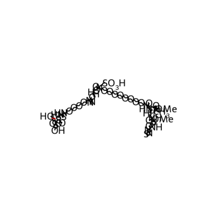 COc1ccc(NC(=O)c2cn3ccsc3n2)cc1C(=O)NCCCC(=O)N[C@@H](CCC(=O)N(C)OC)C(=O)NCCOCCOCCOCCOCCOCCOCCOCCOCCN(CCCS(=O)(=O)O)C(=O)OC[C@H]1[C@@H]2CCc3c(nnn3CCOCCOCCOCCOCCNC(=S)Nc3ccc4c(c3)C(=O)OC43c4ccc(O)cc4Oc4cc(O)ccc43)CC[C@@H]21